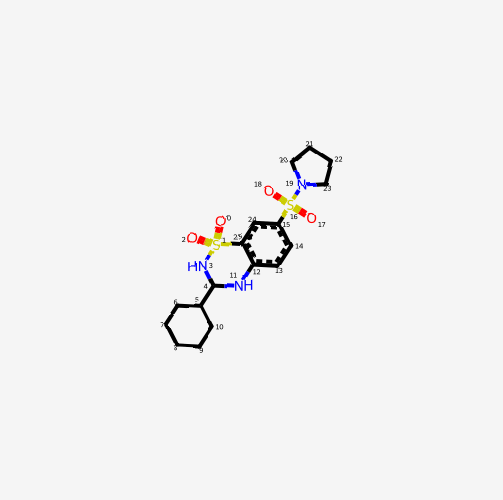 O=S1(=O)NC(C2CCCCC2)Nc2ccc(S(=O)(=O)N3CCCC3)cc21